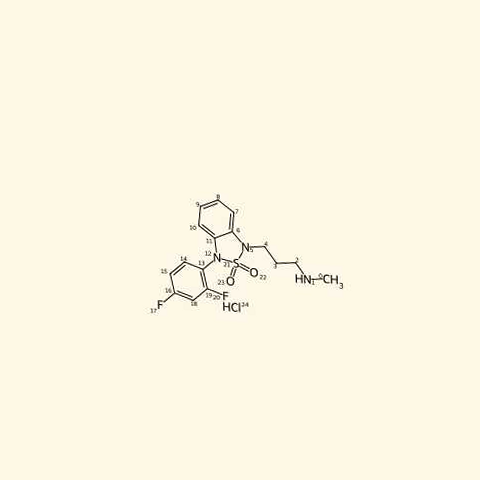 CNCCCN1c2ccccc2N(c2ccc(F)cc2F)S1(=O)=O.Cl